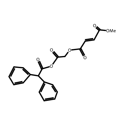 COC(=O)C=CC(=O)OCC(=O)OC(=O)C(c1ccccc1)c1ccccc1